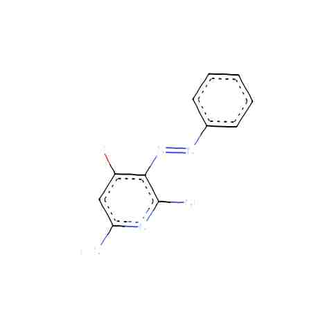 Nc1cc(O)c(N=Nc2ccccc2)c(N)n1